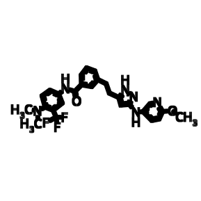 COc1ccc(Nc2cc(CCc3cccc(C(=O)Nc4ccc(N(C)C)c(C(F)(F)F)c4)c3)[nH]n2)cn1